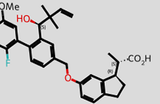 C=CC(C)(C)[C@H](O)c1cc(COc2ccc3c(c2)[C@@H]([C@H](C)C(=O)O)CC3)ccc1-c1cc(OC)ccc1F